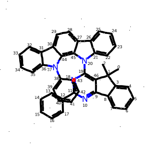 CC1(C)c2ccccc2-c2nc(-c3ccccc3)nc(-n3c4ccccc4c4ccc5c6ccccc6n(-c6ccccc6)c5c43)c21